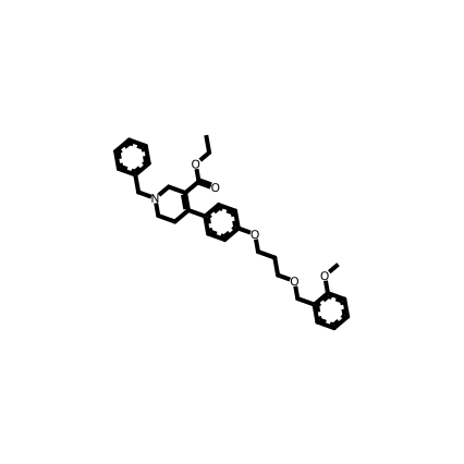 CCOC(=O)C1=C(c2ccc(OCCCOCc3ccccc3OC)cc2)CCN(Cc2ccccc2)C1